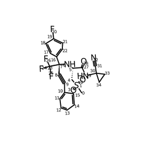 CS(=O)(=O)C[C@H](N[C@@](C#Cc1ccccc1)(c1ccc(F)cc1)C(F)(F)F)C(=O)NC1(C#N)CC1